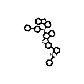 c1ccc(-c2ccc(N(c3cccc4c3-c3ccccc3C4)c3cc4oc5ccc(-c6cccc7oc(-c8ccccc8)nc67)cc5c4c4ccccc34)cc2)cc1